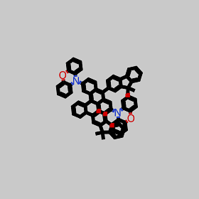 CC1(C)c2ccccc2-c2ccc(-c3c4ccc(N5c6ccccc6Oc6ccccc65)cc4c(C4=CC=CCC4c4ccc5c(c4)C(C)(C)c4ccccc4-5)c4ccc(N5c6ccccc6Oc6ccccc65)cc34)cc21